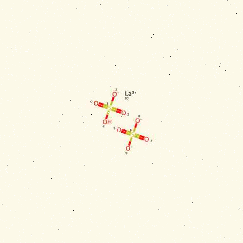 O=S(=O)([O-])O.O=S(=O)([O-])[O-].[La+3]